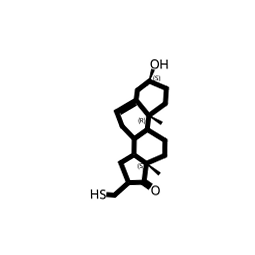 C[C@]12CC[C@H](O)CC1=CCC1C2CC[C@]2(C)C(=O)C(CS)CC12